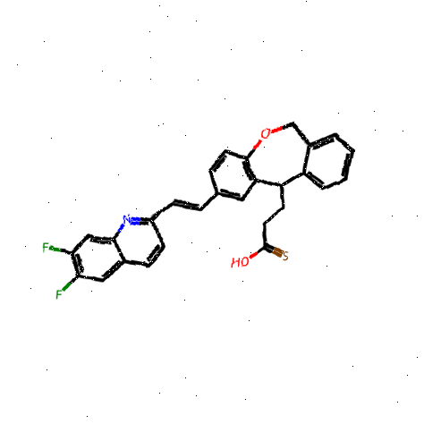 OC(=S)CCC1c2ccccc2COc2ccc(C=Cc3ccc4cc(F)c(F)cc4n3)cc21